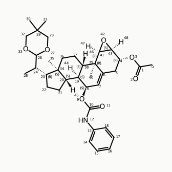 CC(=O)O[C@@H]1CC2=C[C@@H](OC(=O)Nc3ccccc3)[C@H]3[C@@H]4CC[C@H](C(C)C5OCC(C)(C)CO5)[C@@]4(C)CC[C@@H]3[C@@]2(C)[C@H]2O[C@@H]12